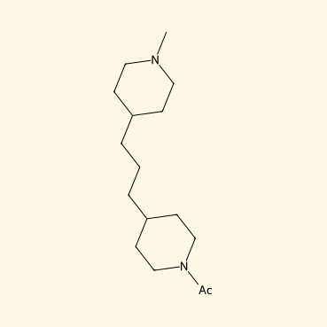 CC(=O)N1CCC(CCCC2CCN(C)CC2)CC1